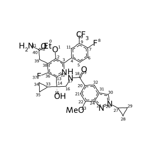 CCOc1c(-c2ccc(F)c(C(F)(F)F)c2)nc([C@@](O)(CNC(=O)c2cc(OC)c3nn(C4CC4)cc3c2)C2CC2)c(F)c1CC(N)=O